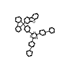 c1ccc(-c2ccc(-c3nc(-c4ccc(-c5ccccc5)cc4)nc(-c4ccc(C5(c6ccc7c(c6)oc6ccccc67)c6ccccc6-c6ccccc65)cc4)n3)cc2)cc1